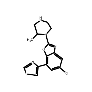 CC1CNCCN1c1nc2cc(Cl)cc(-c3cscn3)c2o1